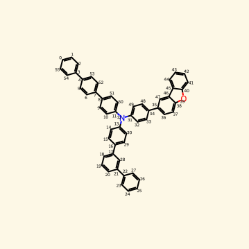 c1ccc(-c2ccc(-c3ccc(N(c4ccc(-c5cccc(-c6ccccc6)c5)cc4)c4ccc(-c5ccc6oc7ccccc7c6c5)cc4)cc3)cc2)cc1